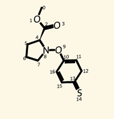 COC(=O)[C@@H]1CCCN1OC1=CCC(=S)C=C1